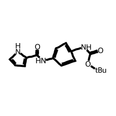 CC(C)(C)OC(=O)Nc1ccc(NC(=O)c2ccc[nH]2)cc1